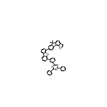 CC1(C)c2cc(-c3cccc4c3oc3c(-c5cccc(-c6nc(-c7ccccc7)nc(-c7ccccc7)n6)c5)cccc34)ccc2-c2c1ccc1ccoc21